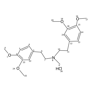 COc1ccc(CCN(C)CCc2ccc(OC)c(OC)c2)cc1OC.Cl